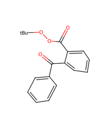 CC(C)(C)OOC(=O)c1ccccc1C(=O)c1ccccc1